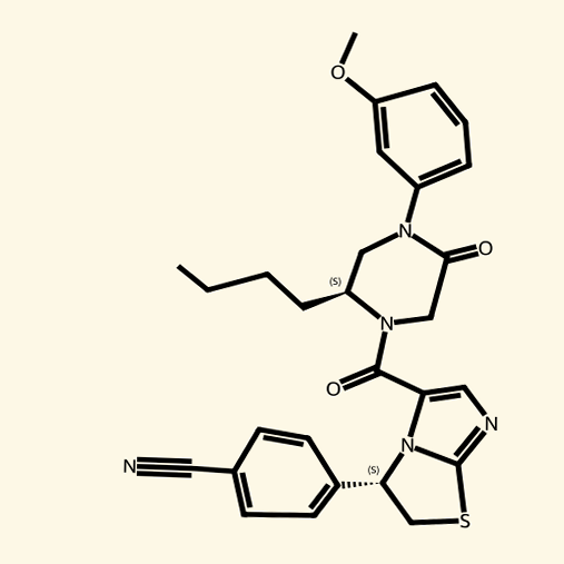 CCCC[C@H]1CN(c2cccc(OC)c2)C(=O)CN1C(=O)c1cnc2n1[C@@H](c1ccc(C#N)cc1)CS2